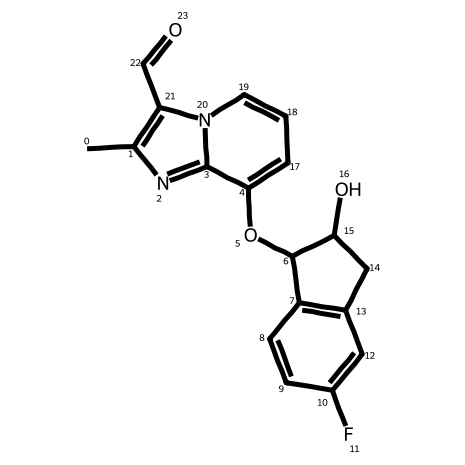 Cc1nc2c(OC3c4ccc(F)cc4CC3O)cccn2c1C=O